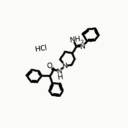 Cl.NC(=Nc1ccccc1)C1CCN(NC(=O)C(c2ccccc2)c2ccccc2)CC1